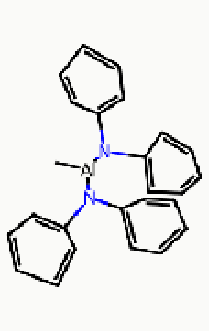 [CH3][Al]([N](c1ccccc1)c1ccccc1)[N](c1ccccc1)c1ccccc1